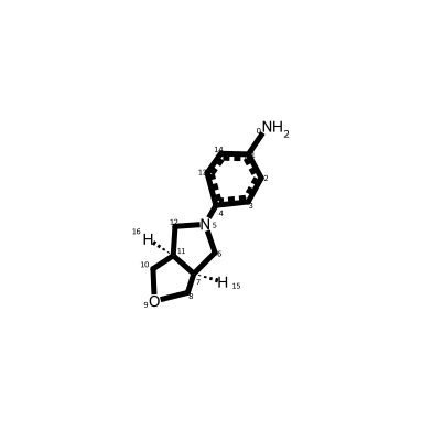 Nc1ccc(N2C[C@H]3COC[C@H]3C2)cc1